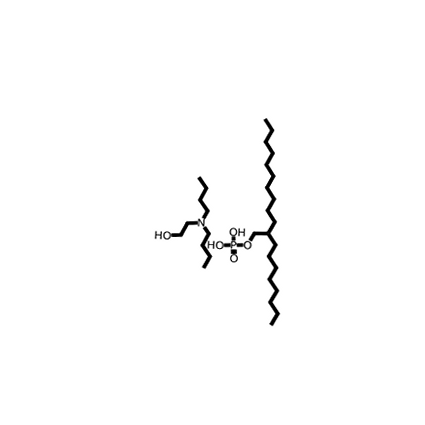 CCCCCCCCCCC(CCCCCCCC)COP(=O)(O)O.CCCCN(CCO)CCCC